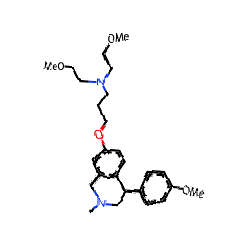 COCCN(CCCOc1ccc2c(c1)CN(C)CC2c1ccc(OC)cc1)CCOC